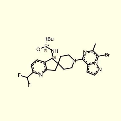 Cc1nc(N2CCC3(CC2)Cc2nc(C(F)F)ccc2[C@H]3N[S@+]([O-])C(C)(C)C)c2ccnn2c1Br